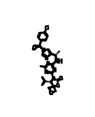 Cc1nc(N[C@@H](C)c2cn(C(=O)c3ccc(Cl)cc3)cn2)nc(N2C(=O)OC3(COC3)[C@@H]2C(C)C)n1